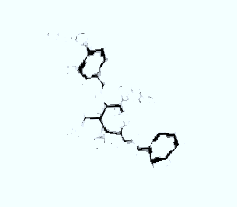 COc1ccc(COC2C(CO)[C@@H](C)C(COCc3ccccc3)O[C@H]2OC)cc1